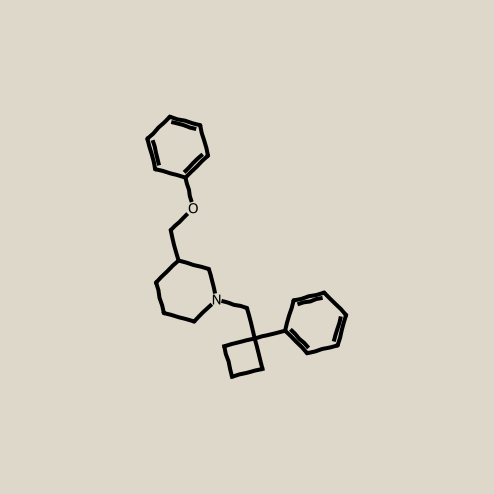 c1ccc(OCC2CCCN(CC3(c4ccccc4)CCC3)C2)cc1